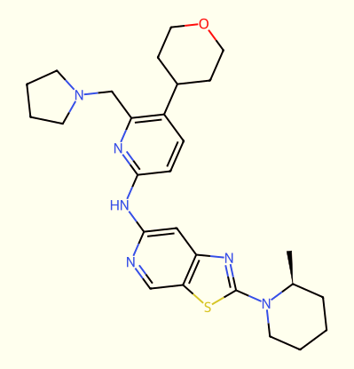 C[C@H]1CCCCN1c1nc2cc(Nc3ccc(C4CCOCC4)c(CN4CCCC4)n3)ncc2s1